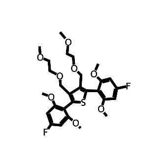 COCCOCc1c(-c2c(OC)cc(F)cc2OC)sc(-c2c(OC)cc(F)cc2OC)c1COCCOC